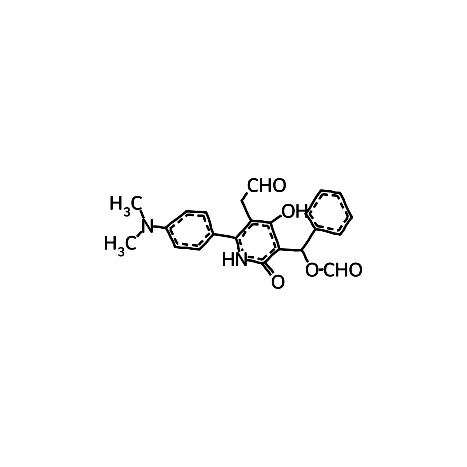 CN(C)c1ccc(-c2[nH]c(=O)c(C(OC=O)c3ccccc3)c(O)c2CC=O)cc1